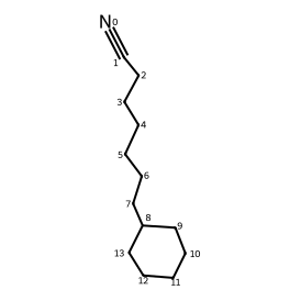 N#CCCCCCCC1CCCCC1